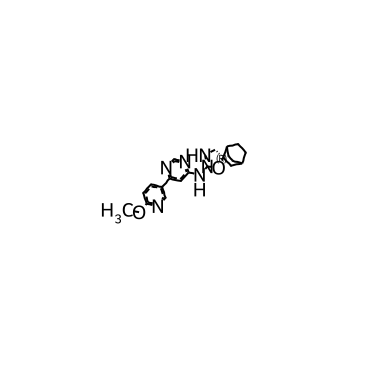 COc1ccc(-c2cc(NN3NC[C@]4(CC5CCC4CC5)O3)ncn2)cn1